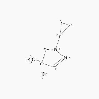 CC(C)C1(C)C=NN(C2CC2)C1